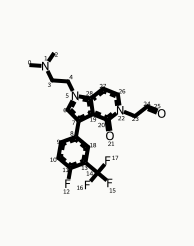 CN(C)CCn1cc(-c2ccc(F)c(C(F)(F)F)c2)c2c(=O)n(CC=O)ccc21